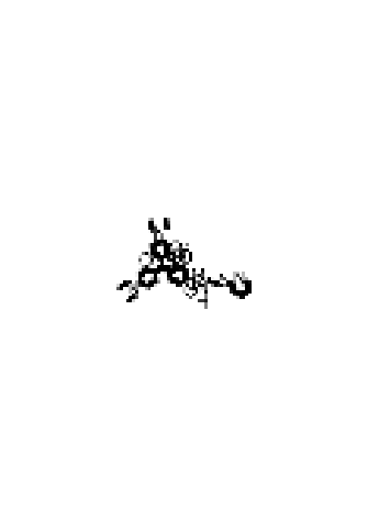 CCN(CC)c1ccc2c(-c3ccc(S(=O)(=O)NCCSc4ccccn4)cc3S(=O)(=O)[O-])c3ccc(=[N+](CC)CC)cc-3oc2c1